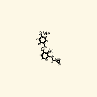 COc1ccc(COc2cccc(CCC3CC3)c2C(C)=O)cc1